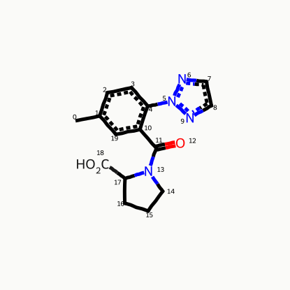 Cc1ccc(-n2nccn2)c(C(=O)N2CCCC2C(=O)O)c1